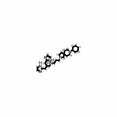 c1c[nH]c(CC(CNCCCN2CCC3(CCN(C4CCCCC4)CC3)C2)Cc2ncc[nH]2)n1